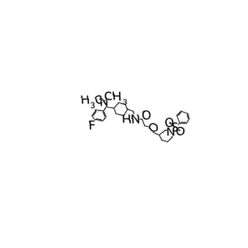 CN(C)C(c1ccc(F)cc1)C1CCC(CNC(=O)COCC2CCCN(S(=O)(=O)c3ccccc3)C2)CC1